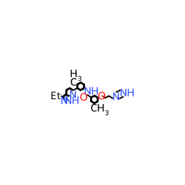 CCc1n[nH]c2nc(-c3cc(NC(=O)c4cc(C)cc(OCCCN5CCNCC5)c4)ccc3C)ccc12